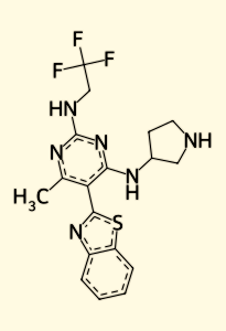 Cc1nc(NCC(F)(F)F)nc(NC2CCNC2)c1-c1nc2ccccc2s1